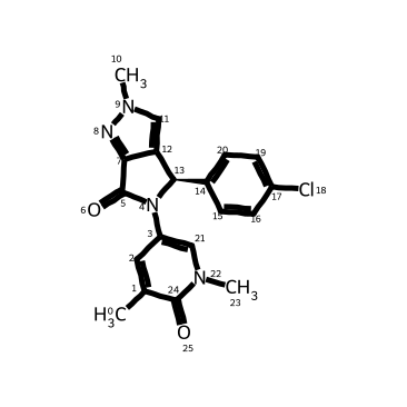 Cc1cc(N2C(=O)c3nn(C)cc3[C@H]2c2ccc(Cl)cc2)cn(C)c1=O